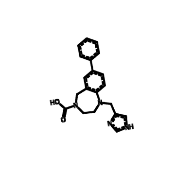 O=C(O)N1CCN(Cc2c[nH]cn2)c2ccc(-c3ccccc3)cc2C1